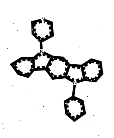 c1ccc(-n2c3ccccc3c3cc4c(cc32)c2ccccc2n4-c2ccncc2)cc1